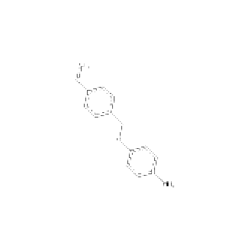 C=Cc1ccc(COc2ccc(N)cc2)cc1